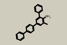 Cc1cc(-c2ccc(-c3ccccc3)cc2)cc(-c2ccccc2)c1N